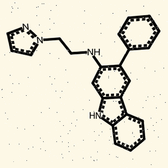 c1ccc(-c2cc3c(cc2NCCn2cccn2)[nH]c2ccccc23)cc1